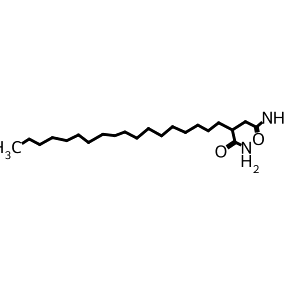 CCCCCCCCCCCCCCCCCCC(CC(N)=O)C(N)=O